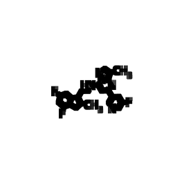 CC1=C(CCNc2cc(-c3cncc(F)c3)nc3c(C)cnn23)c2cc(F)cc(F)c2C1